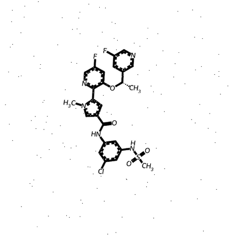 C[C@H](Oc1cc(F)cnc1-c1cc(C(=O)Nc2cc(Cl)cc(NS(C)(=O)=O)c2)cn1C)c1cncc(F)c1